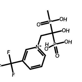 CP(=O)(O)C(O)(C[n+]1cccc(C(F)(F)F)c1)P(=O)(O)O